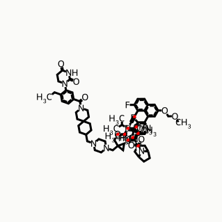 CCc1ccc(C(=O)N2CCC3(CCC(CN4CCN(CC5(COc6nc(N7CC8CCC(C7)N8C(=O)OC(C)(C)C)c7cnc(-c8cc(OCOC)cc9ccc(F)c(C#C[Si](C(C)C)(C(C)C)C(C)C)c89)c(F)c7n6)CC5)CC4)CC3)CC2)cc1N1CCC(=O)NC1=O